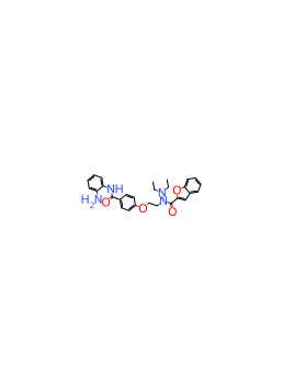 CCN(CC)N(CCOc1ccc(C(=O)Nc2ccccc2N)cc1)C(=O)c1cc2ccccc2o1